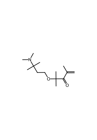 C=C(C)C(=O)C(C)(C)OCCC(C)(C)N(C)C